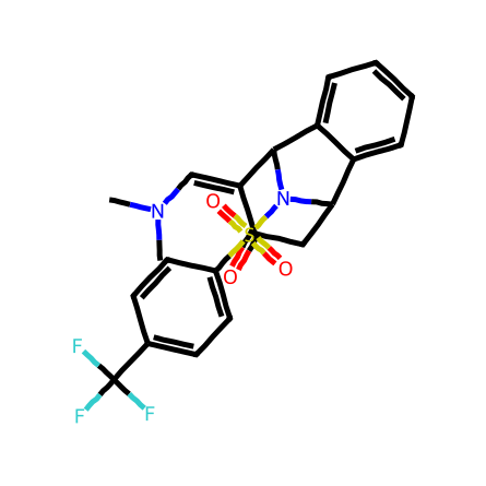 CN(C)/C=C1\C(=O)CC2c3ccccc3C1N2S(=O)(=O)c1ccc(C(F)(F)F)cc1